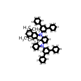 CC1(C)CCC(C)(C)c2cc3c(cc21)B1c2ccccc2N(c2cc(-c4ccccc4)cc(-c4ccccc4)c2)c2cccc(c21)N3c1cc(-c2ccccc2)cc(-c2ccccc2)c1